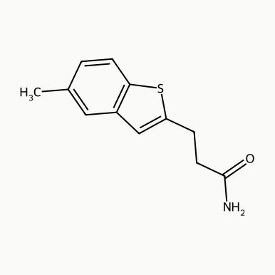 Cc1ccc2sc(CCC(N)=O)cc2c1